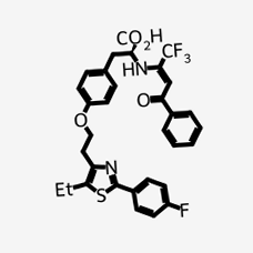 CCc1sc(-c2ccc(F)cc2)nc1CCOc1ccc(C[C@H](N/C(=C\C(=O)c2ccccc2)C(F)(F)F)C(=O)O)cc1